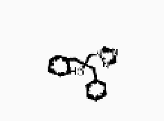 OC(Cc1ccccc1)(Cc1ccccc1)Cn1cncn1